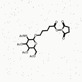 CC(=O)NC1C(OCCCCC(=O)ON2C(=O)CCC2=O)OC(COC(C)=O)C(OC(C)=O)C1OC(C)=O